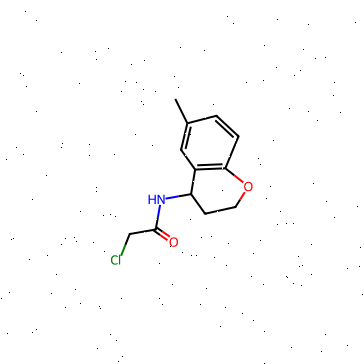 Cc1ccc2c(c1)C(NC(=O)CCl)CCO2